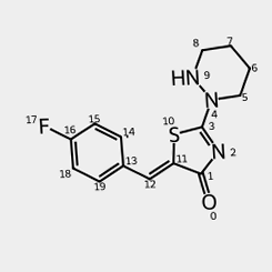 O=C1N=C(N2CCCCN2)SC1=Cc1[c]cc(F)cc1